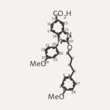 COc1ccc(CCCCOc2nc3cc(C(=O)O)ccc3n2-c2ccc(OC)cc2)cc1